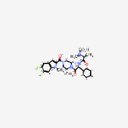 C[C@@H]1CN(C(=O)c2cc3cc(F)c(F)cc3n2C)CCN1C(=O)[C@@H](NC(=O)[C@H](C)N(C)C(=O)O)C1CCCCC1